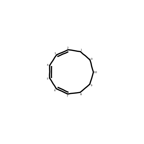 [CH]1CC=CC=CC=CCCC1